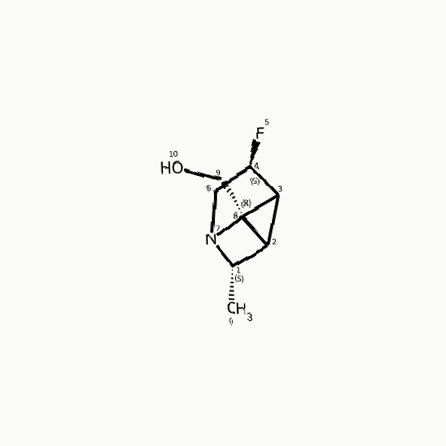 C[C@H]1C2C3[C@H](F)CN1[C@@]32CO